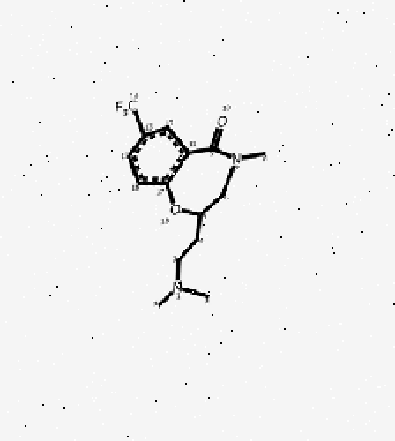 CN(C)CCC1CN(C)C(=O)c2cc(C(F)(F)F)ccc2O1